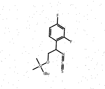 CC(C)(C)[Si](C)(C)OCC(N=C=S)c1ccc(F)cc1F